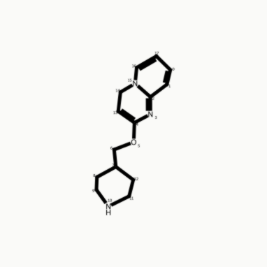 C1=CC2=NC(OCC3CCNCC3)=CCN2C=C1